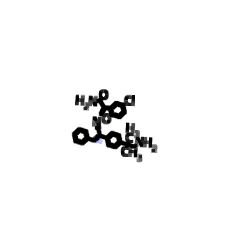 CC(C)(CN)c1ccc(/C(C#N)=C/c2ccccc2)cc1.NC(=O)c1coc2ccc(Cl)cc12